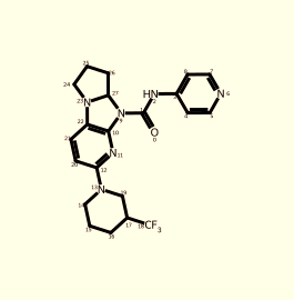 O=C(Nc1ccncc1)N1c2nc(N3CCCC(C(F)(F)F)C3)ccc2N2CCCC21